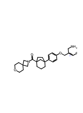 NC/C(=C\F)COc1ccc(C23CCCC(C(=O)N4CC5(CCOCC5)C4)(CC2)C3)cc1